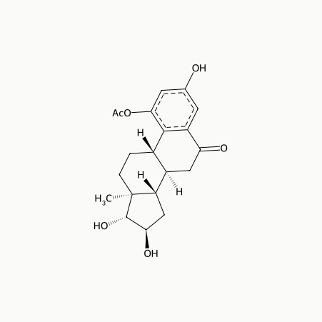 CC(=O)Oc1cc(O)cc2c1[C@H]1CC[C@]3(C)[C@@H](O)[C@H](O)C[C@H]3[C@@H]1CC2=O